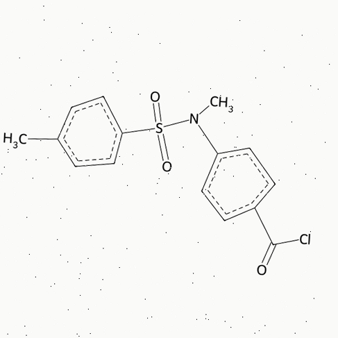 Cc1ccc(S(=O)(=O)N(C)c2ccc(C(=O)Cl)cc2)cc1